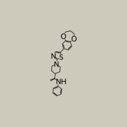 C=C(Nc1ccccc1)C1CCN(c2ncc(-c3ccc4c(c3)OCCCO4)s2)CC1